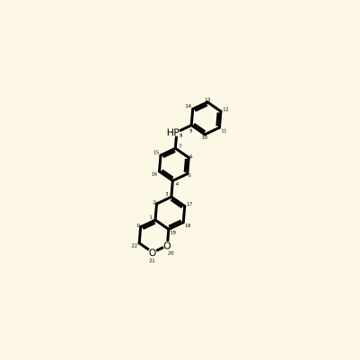 C1=C2CC(c3ccc(Pc4ccccc4)cc3)=CC=C2OOC1